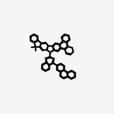 CC1(C)C2=CC3C(C=C2c2ccccc21)c1cc2c(cc1N3c1nc(-c3ccc4c(ccc5ccccc54)c3)c3ccccc3n1)c1c(c3ccccc32)CCC=C1